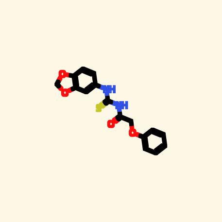 O=C(COc1ccccc1)NC(=S)Nc1ccc2c(c1)OCO2